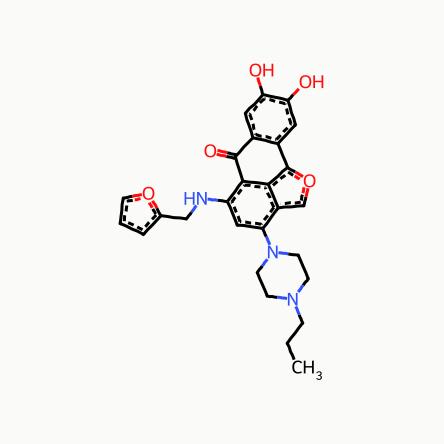 CCCN1CCN(c2cc(NCc3ccco3)c3c4c(occ24)-c2cc(O)c(O)cc2C3=O)CC1